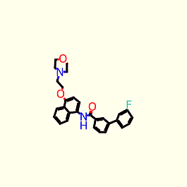 O=C(Nc1ccc(OCCN2CCOCC2)c2ccccc12)c1cccc(-c2cccc(F)c2)c1